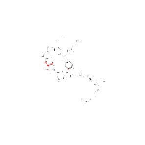 CSCC[C@H](NC(=O)[C@H](Cc1ccc(O)cc1)NC(=O)[C@@H](N)CCC(N)=O)C(=O)N[C@@H](C)C(=O)N[C@@H](C)C(=O)N[C@@H](CC(=O)O)C(=O)N[C@@H](CCC(N)=O)C(=O)N[C@@H](C)C(=O)N[C@@H](C)C(=O)NCC(=O)NCC(=O)N[C@@H](CC(C)C)C(=O)N[C@@H](CCCNC(=N)N)C(=O)O